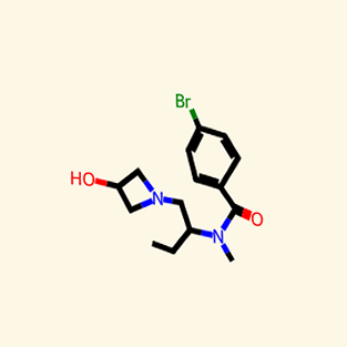 CCC(CN1CC(O)C1)N(C)C(=O)c1ccc(Br)cc1